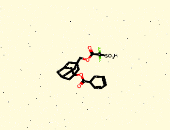 O=C(OC12CC3CC(CC(COC(=O)C(F)(F)S(=O)(=O)O)(C3)C1)C2)C1C=CC=CC1